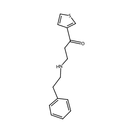 O=C(CCNCCc1ccccc1)c1ccsc1